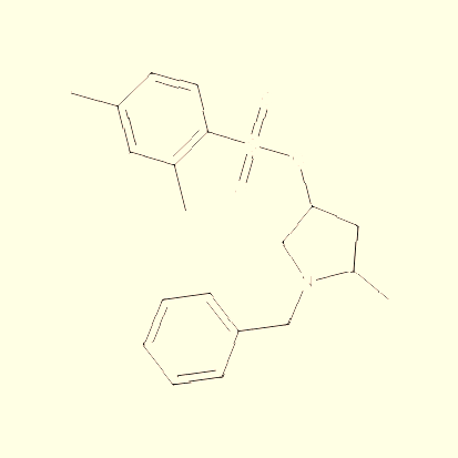 Cc1ccc(S(=O)(=O)OC2CC(C)N(Cc3ccccc3)C2)c(C)c1